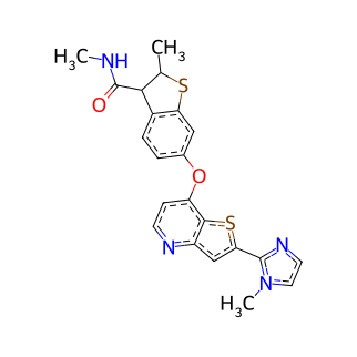 CNC(=O)C1c2ccc(Oc3ccnc4cc(-c5nccn5C)sc34)cc2SC1C